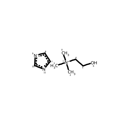 C[N+](C)(C)CCO.c1c[n-]cn1